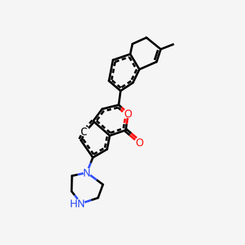 CC1=Cc2cc(-c3cc4ccc(N5CCNCC5)cc4c(=O)o3)ccc2CC1